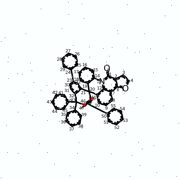 O=c1c2ccoc2c2cccc3c2n1-c1ccccc1C31c2cc(-c3ccccc3)ccc2C(c2ccccc2)(c2ccccc2)c2ccc(-c3ccccc3)cc21